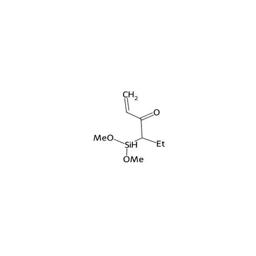 C=CC(=O)C(CC)[SiH](OC)OC